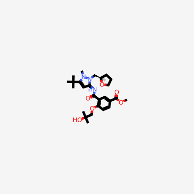 COC(=O)c1ccc(OCC(C)(C)O)c(C(=O)/N=c2\cc(C(C)(C)C)n(C)n2C[C@H]2CCCO2)c1